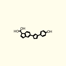 Oc1ccc(C2=CCC(c3ccc4c(c3)C=CC4C(O)O)=C2)cc1